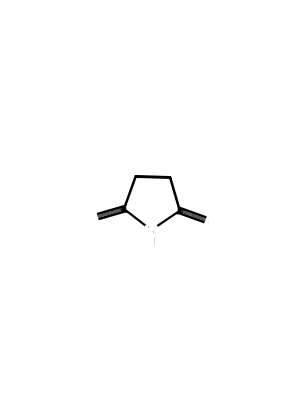 O=C1CCC(=O)N1.[Pb]